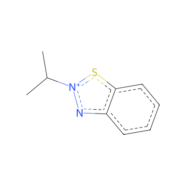 CC(C)[n+]1nc2ccccc2s1